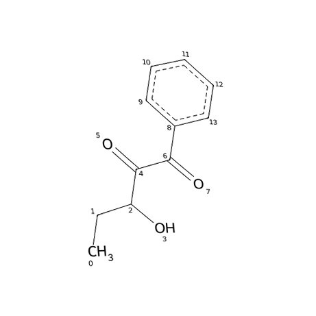 CCC(O)C(=O)C(=O)c1ccccc1